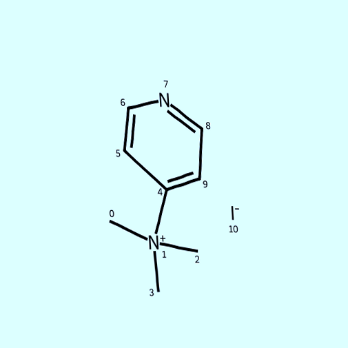 C[N+](C)(C)c1ccncc1.[I-]